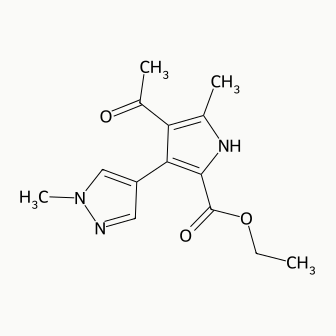 CCOC(=O)c1[nH]c(C)c(C(C)=O)c1-c1cnn(C)c1